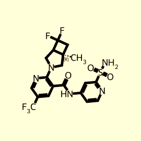 C[C@]12CN(c3ncc(C(F)(F)F)cc3C(=O)Nc3ccnc(S(N)(=O)=O)c3)CC1C(F)(F)C2